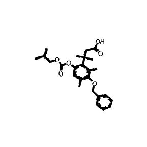 Cc1cc(OC(=O)OCC(C)C)c(C(C)(C)CC(=O)O)c(C)c1OCc1ccccc1